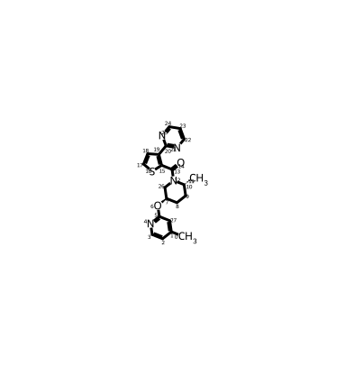 Cc1ccnc(O[C@@H]2CC[C@@H](C)N(C(=O)c3sccc3-c3ncccn3)C2)c1